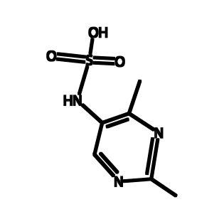 Cc1ncc(NS(=O)(=O)O)c(C)n1